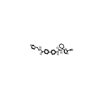 N#Cc1nccc(C2(NC(=O)Nc3ccc(-c4ccc(C(=O)NCCn5ccnc5)cc4)cc3)CCCCC2)n1